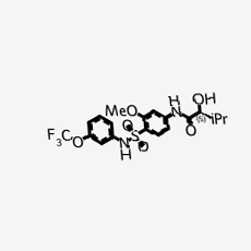 COc1cc(NC(=O)[C@@H](O)C(C)C)ccc1S(=O)(=O)Nc1cccc(OC(F)(F)F)c1